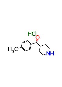 Cc1ccc(C(=O)C2CCNCC2)cc1.Cl